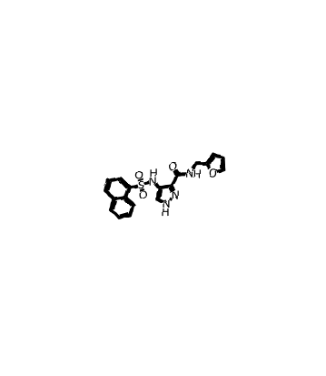 O=C(NCc1ccco1)c1n[nH]cc1NS(=O)(=O)c1cccc2ccccc12